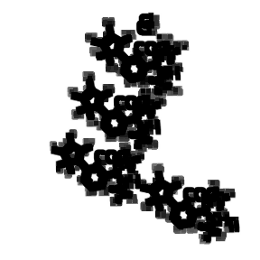 CC1=C(C)C(C)(C)C(c2cccc(C(=N[Si](C)(C)C)N[Si](C)(C)C)c2C(=O)[O-])=C1C.CC1=C(C)C(C)(C)C(c2cccc(C(=N[Si](C)(C)C)N[Si](C)(C)C)c2C(=O)[O-])=C1C.CC1=C(C)C(C)(C)C(c2cccc(C(=N[Si](C)(C)C)N[Si](C)(C)C)c2C(=O)[O-])=C1C.CC1=C(C)C(C)(C)C(c2cccc(C(=N[Si](C)(C)C)N[Si](C)(C)C)c2C(=O)[O-])=C1C.[Cl-].[Cl-].[Ti]